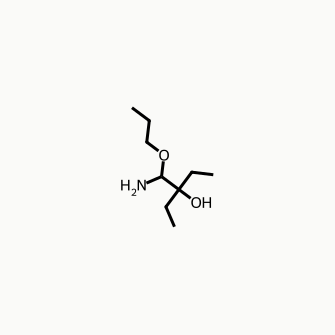 CCCOC(N)C(O)(CC)CC